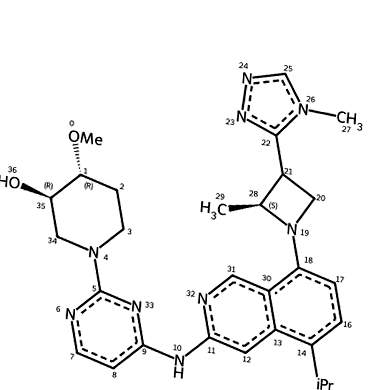 CO[C@@H]1CCN(c2nccc(Nc3cc4c(C(C)C)ccc(N5CC(c6nncn6C)[C@@H]5C)c4cn3)n2)C[C@H]1O